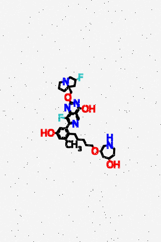 Cc1cc(O)cc(-c2ncc3c(O)nc(OC[C@@]45CCCN4C[C@H](F)C5)nc3c2F)c1CCCCCO[C@@H]1CNCC[C@@H](O)C1